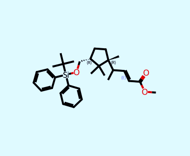 COC(=O)/C=C/C(C)[C@@]1(C)CC[C@@H](CO[Si](c2ccccc2)(c2ccccc2)C(C)(C)C)C1(C)C